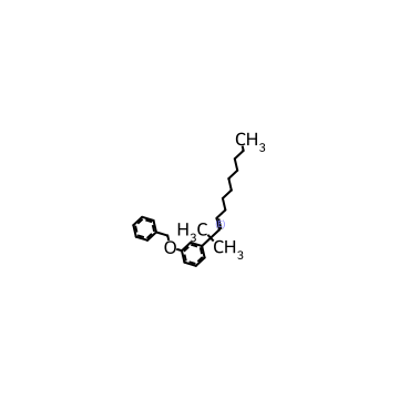 CCCCCCCC/C=C/C(C)(C)c1cccc(OCc2ccccc2)c1